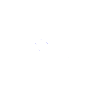 CCn1nnc(-c2ccc(OC)c(Br)c2)n1